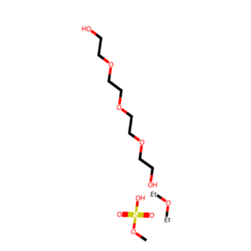 CCOCC.COS(=O)(=O)O.OCCOCCOCCOCCO